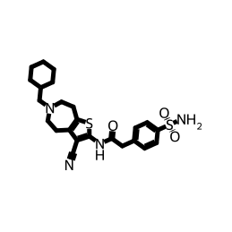 N#Cc1c(NC(=O)Cc2ccc(S(N)(=O)=O)cc2)sc2c1CCN(CC1CCCCC1)CC2